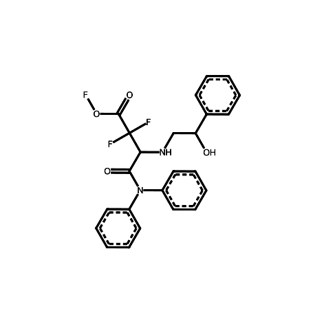 O=C(C(NCC(O)c1ccccc1)C(F)(F)C(=O)OF)N(c1ccccc1)c1ccccc1